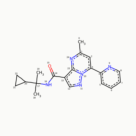 Cc1cc(-c2ccccn2)n2ncc(C(=O)NC(C)(C)C3CC3)c2n1